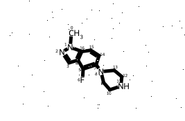 Cn1ncc2c(F)c(N3CCNCC3)ccc21